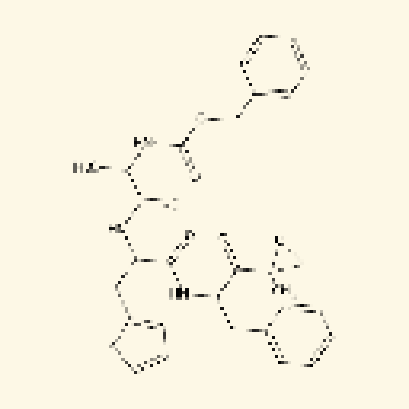 CC(NC(=O)OCc1ccccc1)C(=O)NC(Cc1cccs1)C(=O)NC(Cc1ccccc1)C(=O)C1(C)CO1